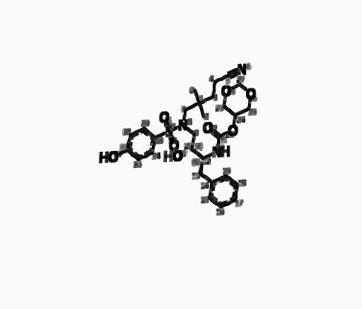 CC(C)(CCC#N)CN(C[C@@H](O)[C@H](Cc1ccccc1)NC(=O)OC1COCOC1)S(=O)(=O)c1ccc(O)cc1